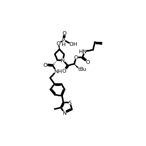 C=CCNC(=O)O[C@H](C(=O)N1C[C@H](O[PH](=O)O)C[C@H]1C(=O)NCc1ccc(-c2scnc2C)cc1)C(C)(C)C